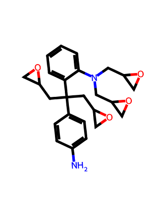 Nc1ccc(C(CC2CO2)(CC2CO2)c2ccccc2N(CC2CO2)CC2CO2)cc1